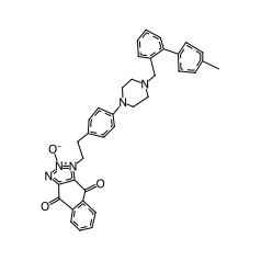 Cc1ccc(-c2ccccc2CN2CCN(c3ccc(CCn4c5c(n[n+]4[O-])C(=O)c4ccccc4C5=O)cc3)CC2)cc1